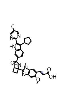 COc1cc2nc(C3(NC(=O)c4ccc5c(C6CCCC6)c(-c6ncc(Cl)cn6)n(C)c5c4)CCC3)n(C)c2cc1/C=C/C(=O)O